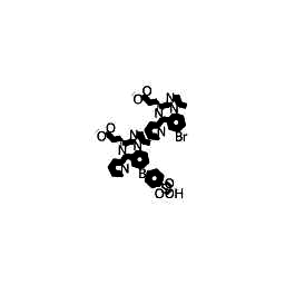 COC(=O)CC[C@@H]1N=C(c2ccccn2)c2cc(Br)ccc2-n2c(C)cnc21.COC(=O)CC[C@@H]1N=C(c2ccccn2)c2cc(Br)ccc2-n2c(C)cnc21.O=S(=O)(O)c1ccccc1